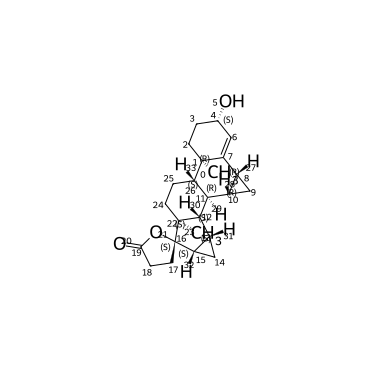 C[C@]12CC[C@H](O)C=C1[C@@H]1C[C@@H]1[C@H]1[C@@H]3[C@@H]4C[C@@H]4[C@@]4(CCC(=O)O4)[C@@]3(C)CC[C@@H]12